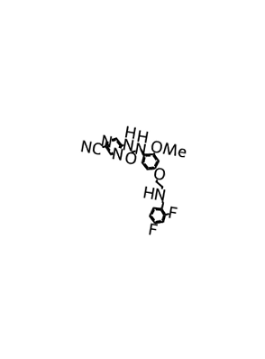 COc1cc(OCCNCc2ccc(F)cc2F)ccc1NC(=O)Nc1cnc(C#N)cn1